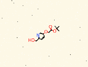 CC(C)(C)OC(=O)COc1ccc(CO)nc1